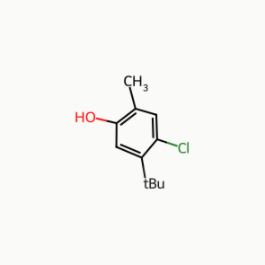 Cc1cc(Cl)c(C(C)(C)C)cc1O